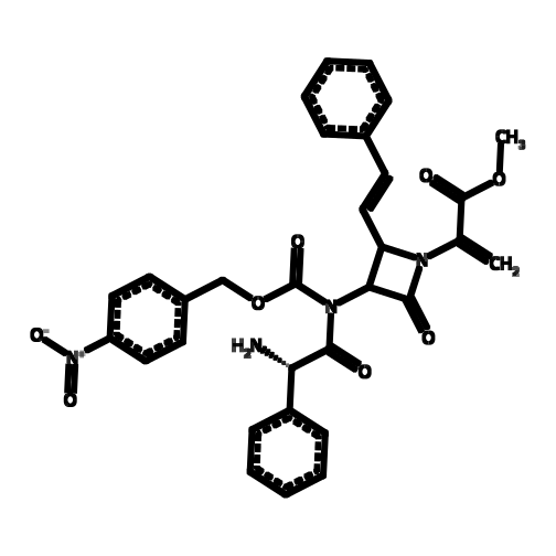 C=C(C(=O)OC)N1C(=O)C(N(C(=O)OCc2ccc([N+](=O)[O-])cc2)C(=O)[C@@H](N)c2ccccc2)C1C=Cc1ccccc1